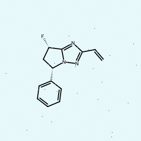 C=Cc1nc2n(n1)[C@H](c1ccccc1)C[C@@H]2F